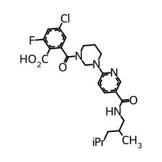 CC(C)CC(C)CNC(=O)c1ccc(N2CCCN(C(=O)c3cc(Cl)cc(F)c3C(=O)O)C2)nc1